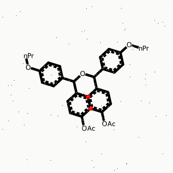 CCCOc1ccc(C(OC(c2ccc(OCCC)cc2)c2ccc(OC(C)=O)cc2)c2ccc(OC(C)=O)cc2)cc1